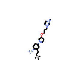 C[n+]1ccn(CCCOC2CCN(c3ccc(N)c(CC[Si](C)(C)C)c3)C2)c1